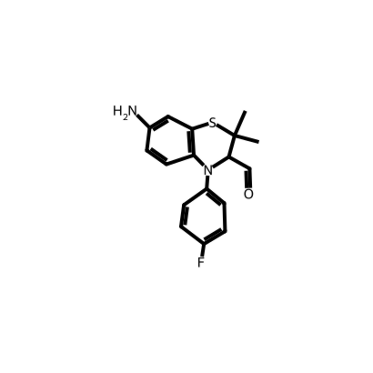 CC1(C)Sc2cc(N)ccc2N(c2ccc(F)cc2)C1C=O